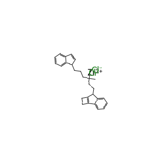 C[C]([Zr+2])(CCCC1C=Cc2ccccc21)CCC1C2=C(CC2)c2ccccc21.[Cl-].[Cl-]